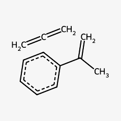 C=C(C)c1ccccc1.C=C=C